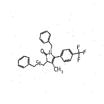 CC1=C(c2ccc(C(F)(F)F)cc2)N(Cc2ccccc2)C(=O)C1C[Se]Cc1ccccc1